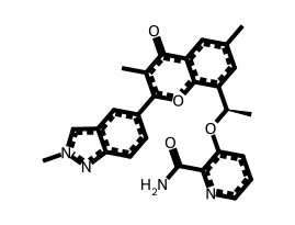 Cc1cc([C@@H](C)Oc2cccnc2C(N)=O)c2oc(-c3ccc4nn(C)cc4c3)c(C)c(=O)c2c1